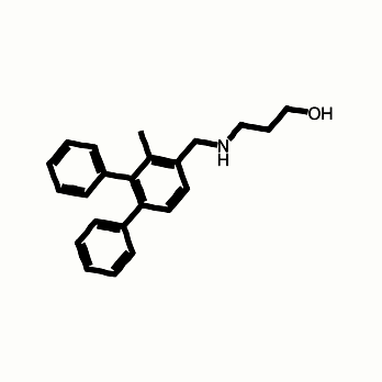 Cc1c(CNCCCO)ccc(-c2ccccc2)c1-c1ccccc1